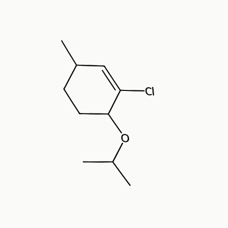 CC1C=C(Cl)C(OC(C)C)CC1